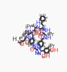 CCNC(=O)c1nnc(-c2cc(C(C)C)c(O)cc2O)n1-c1ccc(C(=O)N[C@H](C(=O)N[C@@H](CCc2ccccc2)C(=O)N[C@@H](CC(C)C)C(=O)N[C@@H](Cc2ccccc2)C(=O)N[C@@H](CC(C)C)C(=O)[C@@]2(C)CO2)C(C)C)cc1